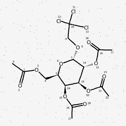 CC(=O)OC[C@H]1O[C@H](OCC(Cl)(Cl)Cl)[C@H](OC(C)=O)[C@@H](OC(C)=O)[C@H]1OC(C)=O